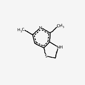 Cc1cc2c(c(C)n1)NCS2